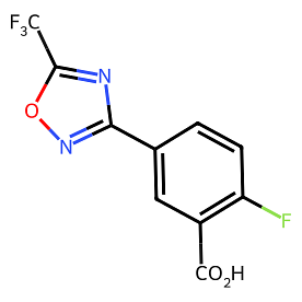 O=C(O)c1cc(-c2noc(C(F)(F)F)n2)ccc1F